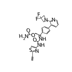 C#Cc1nc(NC(=O)N[C@@H](COC(N)=O)c2ccc(-c3cccnc3N3CC(F)(F)C3)cc2)cs1